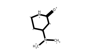 CN(C)C1CCNC(=O)C1